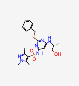 Cc1nn(C)c(C)c1S(=O)(=O)Nc1cc(N[C@H](C)CO)nc(SCc2ccccc2)n1